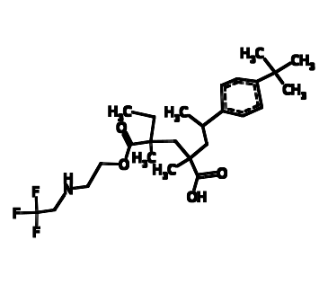 CCC(C)(CC(C)(CC(C)c1ccc(C(C)(C)C)cc1)C(=O)O)C(=O)OCCNCC(F)(F)F